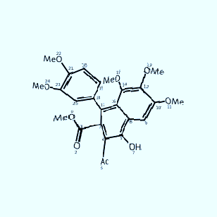 COC(=O)c1c(C(C)=O)c(O)c2cc(OC)c(OC)c(OC)c2c1-c1ccc(OC)c(OC)c1